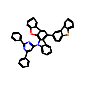 c1ccc(-c2cc(-n3c4ccccc4c4c(-c5ccc6sc7ccccc7c6c5)cc5c6ccccc6oc5c43)nc(-c3ccccc3)n2)cc1